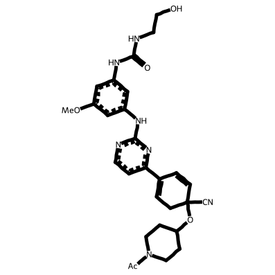 COc1cc(NC(=O)NCCO)cc(Nc2nccc(C3=CCC(C#N)(OC4CCN(C(C)=O)CC4)C=C3)n2)c1